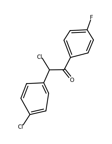 O=C(c1ccc(F)cc1)C(Cl)c1ccc(Cl)cc1